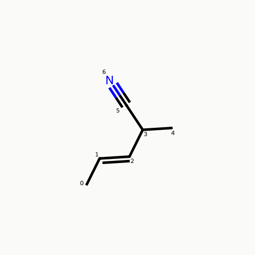 C/C=C/C(C)C#N